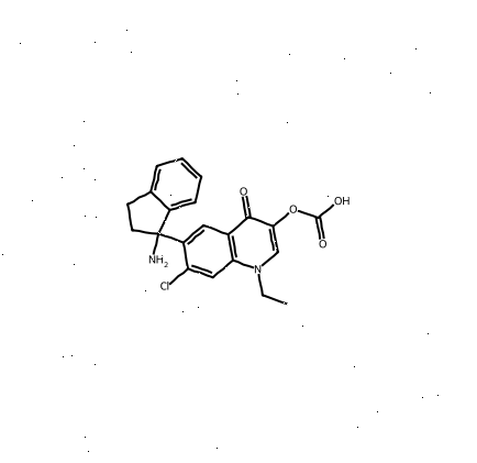 CCn1cc(OC(=O)O)c(=O)c2cc(C3(N)CCc4ccccc43)c(Cl)cc21